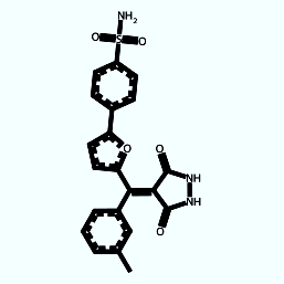 Cc1cccc(C(=C2C(=O)NNC2=O)c2ccc(-c3ccc(S(N)(=O)=O)cc3)o2)c1